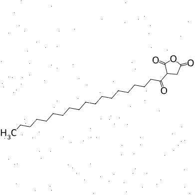 CCCCCCCCCCCCCCCCCCC(=O)C1CC(=O)OC1=O